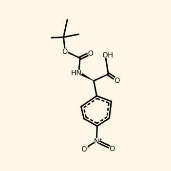 CC(C)(C)OC(=O)N[C@@H](C(=O)O)c1ccc([N+](=O)[O-])cc1